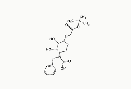 CC(C)(C)OC(=O)COC1CCC(N(Cc2ccccc2)C(=O)O)C(O)C1O